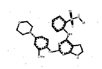 CCNS(=O)(=O)c1ccccc1Nc1nc(Nc2ccc(N3CCOCC3)cc2OC)nc2c1CCN2